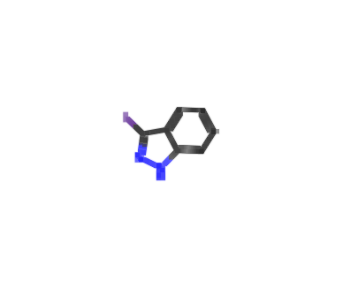 Ic1n[nH]c2c[c]ccc12